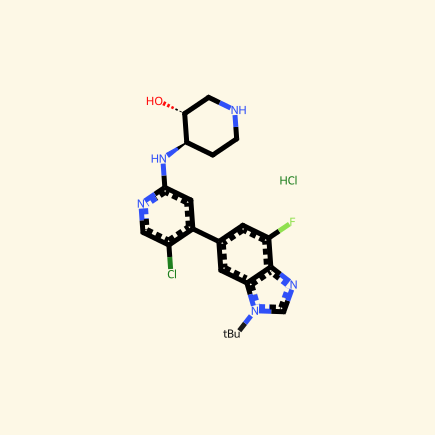 CC(C)(C)n1cnc2c(F)cc(-c3cc(N[C@@H]4CCNC[C@H]4O)ncc3Cl)cc21.Cl